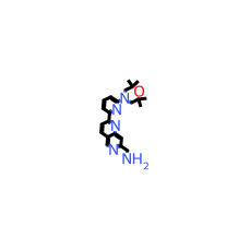 CC1(C)CN(c2cccc(-c3ccc4cnc(CN)cc4n3)n2)CC(C)(C)O1